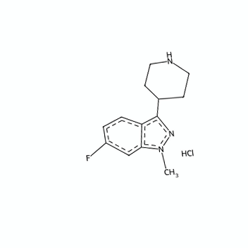 Cl.Cn1nc(C2CCNCC2)c2ccc(F)cc21